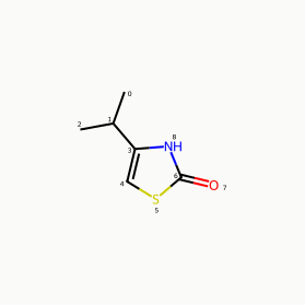 CC(C)c1csc(=O)[nH]1